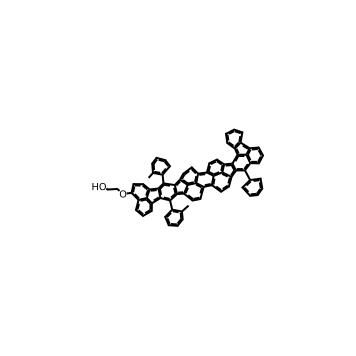 Cc1ccccc1-c1c2c3cccc4c(OCCO)ccc(c2c(-c2ccccc2C)c2c5ccc6c7ccc8c9c(ccc(c%10ccc(c12)c5c%106)c79)c1c(-c2ccccc2)c2cccc5c6ccccc6c(c25)c81)c43